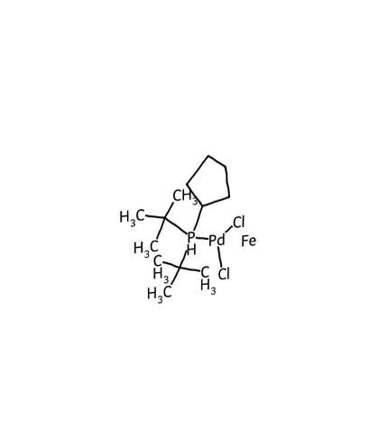 CC(C)(C)[PH](C1CCCC1)([Pd]([Cl])[Cl])C(C)(C)C.[Fe]